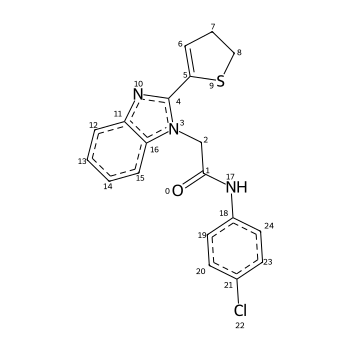 O=C(Cn1c(C2=CCCS2)nc2ccccc21)Nc1ccc(Cl)cc1